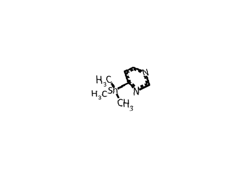 [CH3][Sn]([CH3])([CH3])[c]1ccncn1